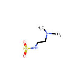 CN(C)CCN[SH](=O)=O